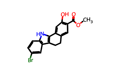 COC(=O)c1cc2c(cc1O)-c1[nH]c3ccc(Br)cc3c1CC2